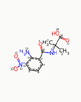 CC(C)(NC(=O)c1cccc([N+](=O)[O-])c1N)C(=O)O